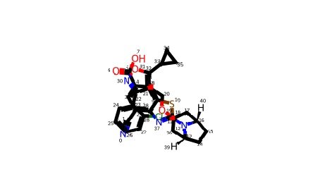 N#Cc1cc(C(=O)O)cc2sc(N3[C@@H]4CC[C@H]3CC(OCc3c(-c5ccccc5Cl)noc3C3CC3)C4)nc12